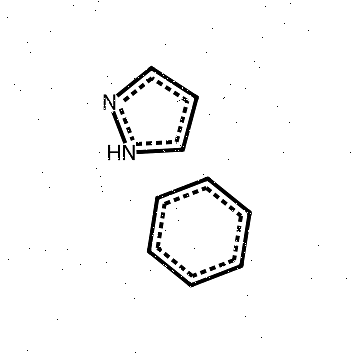 c1ccccc1.c1cn[nH]c1